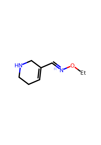 CCO/N=C/C1=CCCNC1